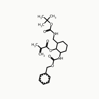 C=C(C)C(=O)OC1C(CNC(=O)OC(C)(C)C)CCCC1NC(=O)OCc1ccccc1